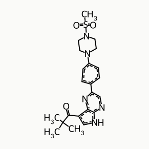 CC(C)(C)C(=O)c1c[nH]c2ncc(-c3ccc(N4CCN(S(C)(=O)=O)CC4)cc3)nc12